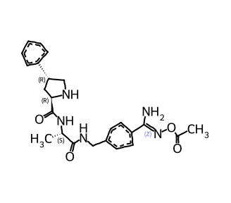 CC(=O)O/N=C(\N)c1ccc(CNC(=O)[C@H](C)NC(=O)[C@H]2C[C@H](c3ccccc3)CN2)cc1